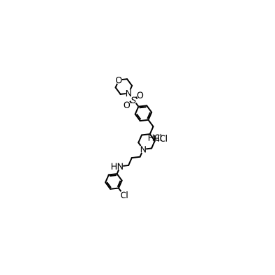 Cl.Cl.O=S(=O)(c1ccc(CC2CCN(CCCNc3cccc(Cl)c3)CC2)cc1)N1CCOCC1